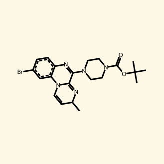 CC1C=CN2C(=N1)C(N1CCN(C(=O)OC(C)(C)C)CC1)=Nc1ccc(Br)cc12